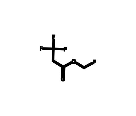 O=C(CC(F)(F)F)OCF